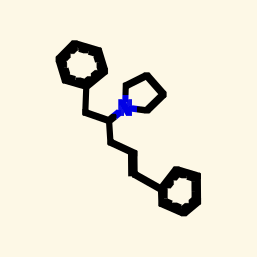 C(=C\c1ccccc1)/CC(Cc1ccccc1)N1CCCC1